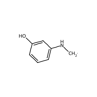 [CH2]Nc1cccc(O)c1